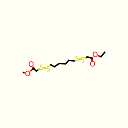 CCOC(=O)CSSCCCCCCSSCC(=O)OC